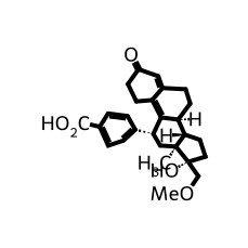 COC[C@]1(O)CC[C@H]2[C@@H]3CCC4=CC(=O)CCC4=C3[C@@H](c3ccc(C(=O)O)cc3)C[C@@]21C